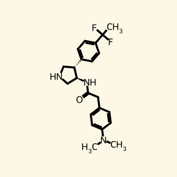 CN(C)c1ccc(CC(=O)N[C@H]2CNC[C@@H]2c2ccc(C(C)(F)F)cc2)cc1